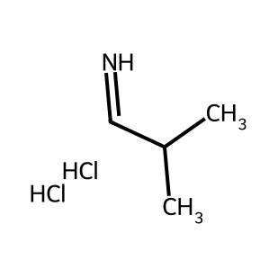 CC(C)C=N.Cl.Cl